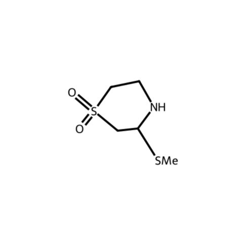 CSC1CS(=O)(=O)CCN1